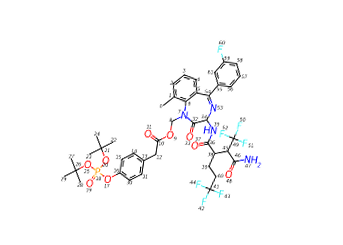 Cc1cccc2c1N(COC(=O)Cc1ccc(OP(=O)(OC(C)(C)C)OC(C)(C)C)cc1)C(=O)C(NC(=O)C(CCC(F)(F)F)C(C(N)=O)C(F)(F)F)N=C2c1cccc(F)c1